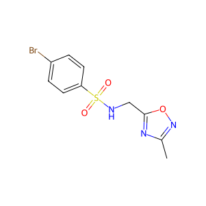 Cc1noc(CNS(=O)(=O)c2ccc(Br)cc2)n1